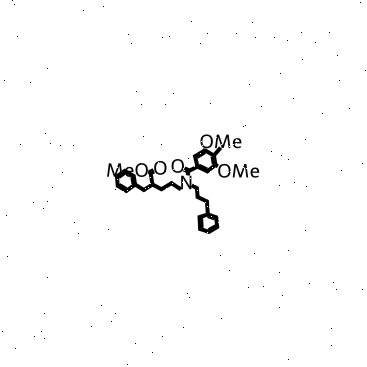 COC(=O)C(CCCN(CCCc1ccccc1)C(=O)c1cc(OC)c(C)c(OC)c1)Cc1ccccc1